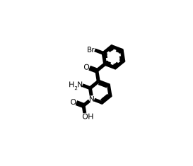 NC1C(C(=O)c2ccccc2Br)=CC=CN1C(=O)O